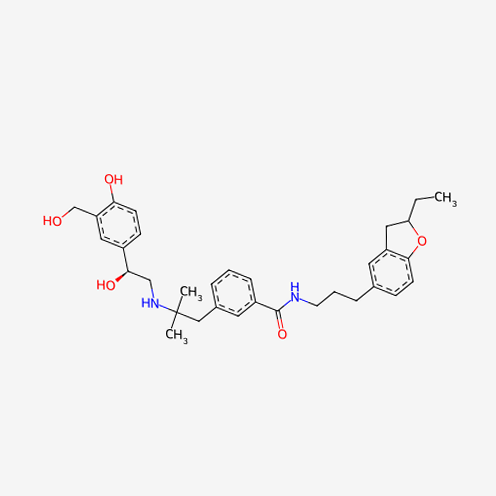 CCC1Cc2cc(CCCNC(=O)c3cccc(CC(C)(C)NC[C@@H](O)c4ccc(O)c(CO)c4)c3)ccc2O1